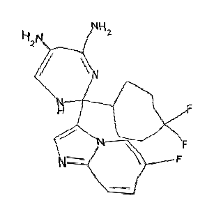 NC1=CNC(c2cnc3ccc(F)cn23)(C2CCC(F)(F)CC2)N=C1N